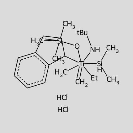 Cl.Cl.[CH2]=[Ti]([CH3])([CH2]C)([NH]C(C)(C)C)([O][Si](C)(C)C)([CH]1C=Cc2ccccc21)[SiH](C)C